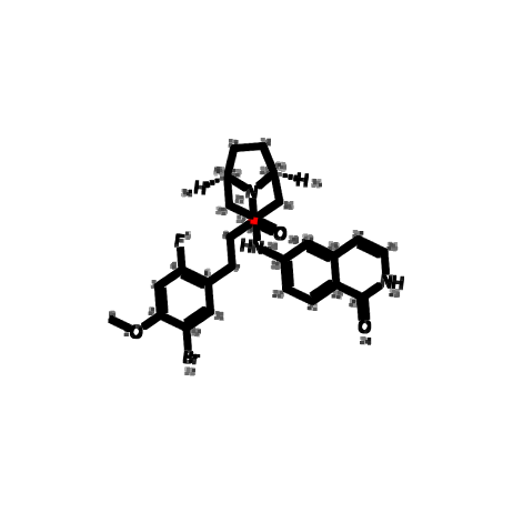 COc1cc(F)c(CCC(=O)N2[C@@H]3CC[C@H]2CC(Nc2ccc4c(=O)[nH]ccc4c2)C3)cc1Br